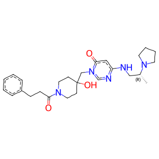 C[C@H](CNc1cc(=O)n(CC2(O)CCN(C(=O)CCc3ccccc3)CC2)cn1)N1CCCC1